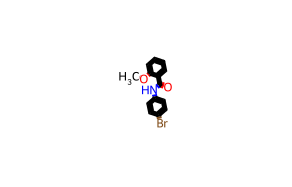 COc1ccccc1C(=O)Nc1ccc(Br)cc1